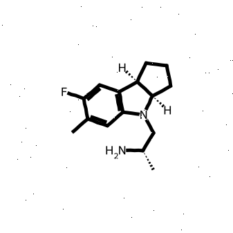 Cc1cc2c(cc1F)[C@H]1CCC[C@H]1N2C[C@H](C)N